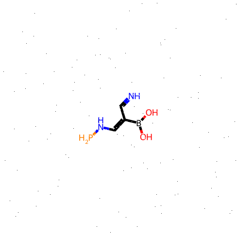 N=C/C(=C\NP)B(O)O